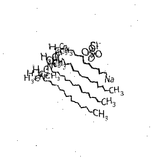 CCCCCCCCCCCCCC[N+](C)(C)C.CCCCCCCCCCCCCC[N+](C)(C)C.CCCCCCCCCCCCCC[N+](C)(C)C.CCCCCCCCCCC[CH2][Na].O=S(=O)([O-])[O-].[Cl-]